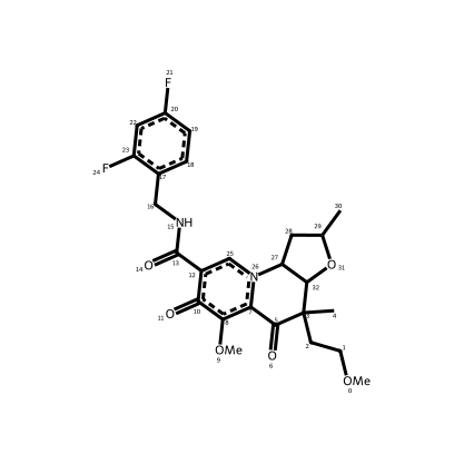 COCCC1(C)C(=O)c2c(OC)c(=O)c(C(=O)NCc3ccc(F)cc3F)cn2C2CC(C)OC21